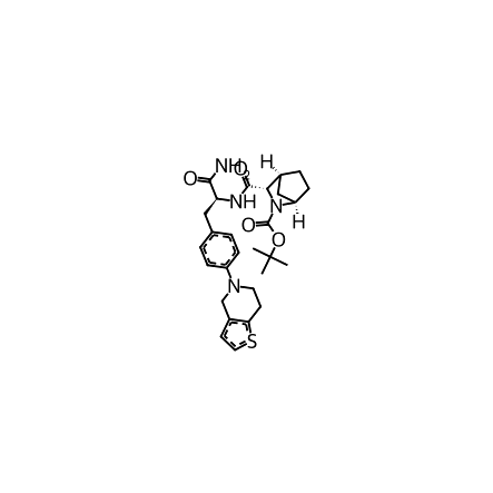 CC(C)(C)OC(=O)N1[C@@H]2CC[C@@H](C2)[C@H]1C(=O)N[C@@H](Cc1ccc(N2CCc3sccc3C2)cc1)C(N)=O